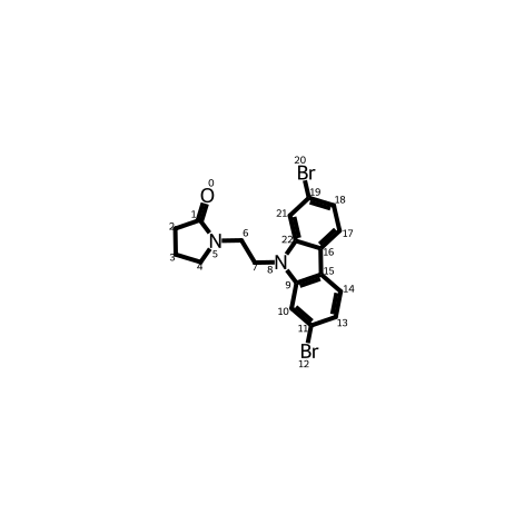 O=C1CCCN1CCn1c2cc(Br)ccc2c2ccc(Br)cc21